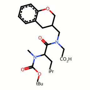 CC(C)CC(C(=O)N(CC(=O)O)CC1COc2ccccc2C1)N(C)C(=O)OC(C)(C)C